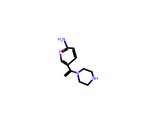 C=C(c1ccc(N)pc1)N1CCNCC1